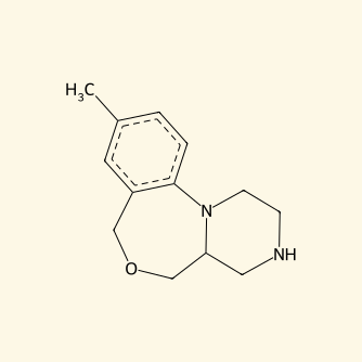 Cc1ccc2c(c1)COCC1CNCCN21